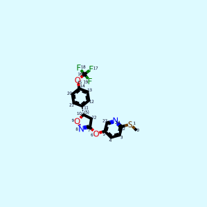 CSc1ccc(OC2=NO[C@H](c3ccc(OC(F)(F)F)cc3)C2)cn1